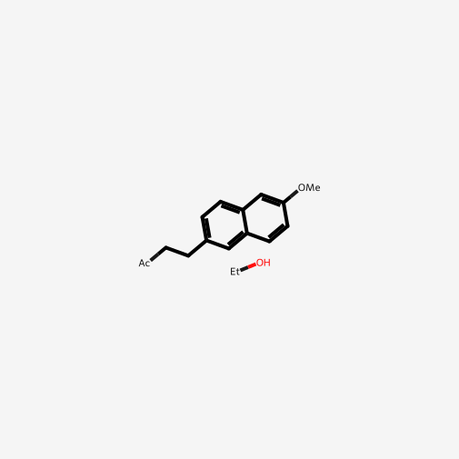 CCO.COc1ccc2cc(CCC(C)=O)ccc2c1